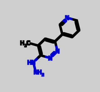 Cc1cc(-c2cccnc2)nnc1NN